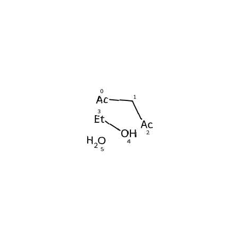 CC(=O)CC(C)=O.CCO.O